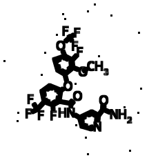 COc1c(Oc2ccc(C(F)(F)F)c(F)c2C(=O)Nc2ccnc(C(N)=O)c2)ccc(OC(F)(F)F)c1F